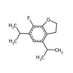 CC(C)c1cc(C(C)C)c2c(c1F)OCC2